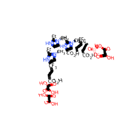 CCc1[nH]cc[n+]1C.CCc1[nH]cc[n+]1C.CCc1[nH]cc[n+]1C.O=C(O)C(=O)O.O=C(O)C(=O)O.O=C(O)C(=O)O.O=C(O)CCC(F)(F)F.O=C(O)CCC(F)(F)F.O=C(O)CCC(F)(F)F.[O-]B([O-])[O-]